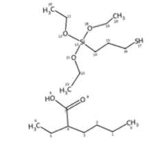 CCCCC(CC)C(=O)O.CCO[Si](CCCS)(OCC)OCC